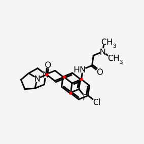 CN(C)CC(=O)Nc1cc(Cl)ccc1C=CC(=O)N1C2CCC1CN(Cc1ccc(F)cc1)C2